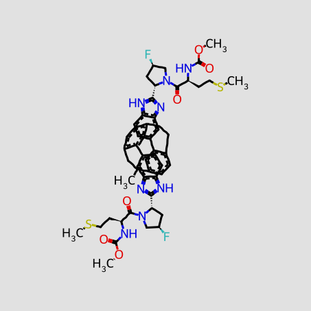 COC(=O)N[C@@H](CCSC)C(=O)N1C[C@H](F)C[C@H]1c1nc2cc(-c3cc4ccc3CCc3ccc(c(-c5ccc6[nH]c([C@@H]7C[C@@H](F)CN7C(=O)[C@H](CCSC)NC(=O)OC)nc6c5)c3)CC4C)ccc2[nH]1